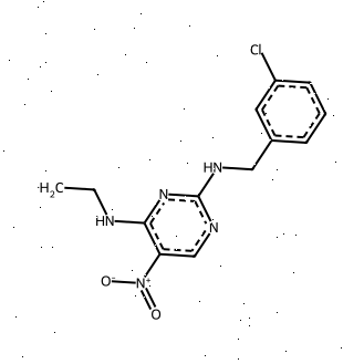 [CH2]CNc1nc(NCc2cccc(Cl)c2)ncc1[N+](=O)[O-]